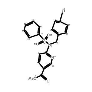 COC(=O)c1ccc(N(Cc2ccc(Cl)cc2)S(=O)(=O)c2ccccc2)nc1